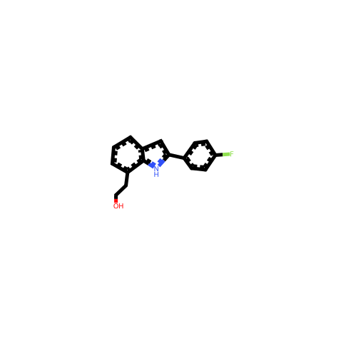 OCCc1cccc2[c]c(-c3ccc(F)cc3)[nH]c12